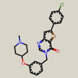 CN1CCC(Oc2cccc(Cn3cnc4cc(-c5ccc(Cl)cc5)sc4c3=O)c2)CC1